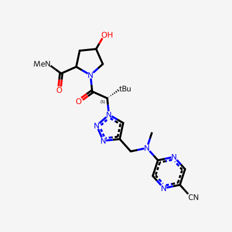 CNC(=O)C1CC(O)CN1C(=O)[C@@H](n1cc(CN(C)c2cnc(C#N)cn2)nn1)C(C)(C)C